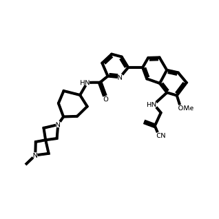 C=C(C#N)CNc1c(OC)ccc2ccc(-c3cccc(C(=O)NC4CCC(N5CC6(CN(C)C6)C5)CC4)n3)cc12